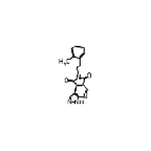 Cc1ccccc1CCN1C(=O)c2cnc3[nH]ncc3c2C1=O